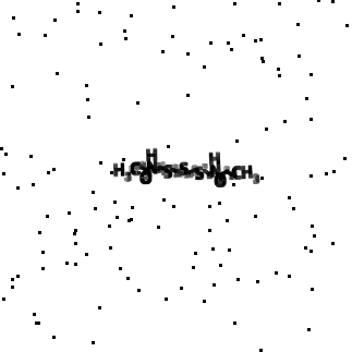 CCCC(=O)NCCSCCSCCSCCNC(=O)CC